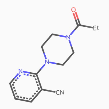 CCC(=O)N1CCN(c2ncccc2C#N)CC1